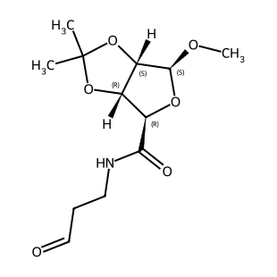 CO[C@H]1O[C@@H](C(=O)NCCC=O)[C@@H]2OC(C)(C)O[C@H]12